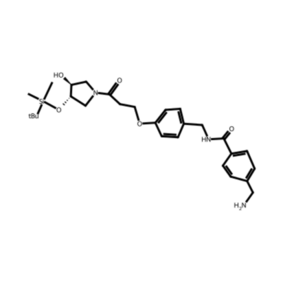 CC(C)(C)[Si](C)(C)O[C@H]1CN(C(=O)CCOc2ccc(CNC(=O)c3ccc(CN)cc3)cc2)C[C@@H]1O